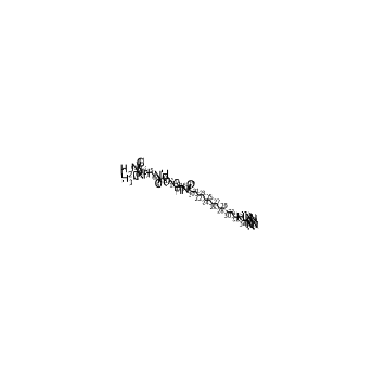 CN[C@@H](CCCCNC(=O)COCCOCCNC(=O)CCCCCCCCCCCCCCCc1nnn[nH]1)C(N)=O